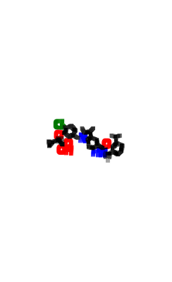 Cc1c(C)n(Cc2ccc(Cl)c(O[C@H](C(=O)O)C3CC3)c2)c2ccc(C(=O)N[C@@H](C)c3cccc(C(C)C)c3)cc12